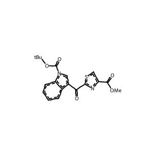 COC(=O)c1csc(C(=O)c2cn(C(=O)OC(C)(C)C)c3ccccc23)n1